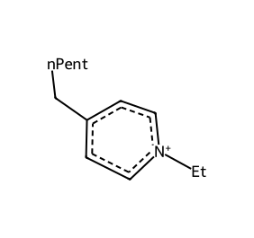 CCCCCCc1cc[n+](CC)cc1